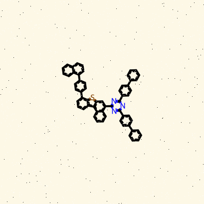 c1ccc(-c2ccc(-c3nc(-c4ccc(-c5ccccc5)cc4)nc(-c4cc5sc6c(-c7ccc(-c8cccc9ccccc89)cc7)cccc6c5c5ccccc45)n3)cc2)cc1